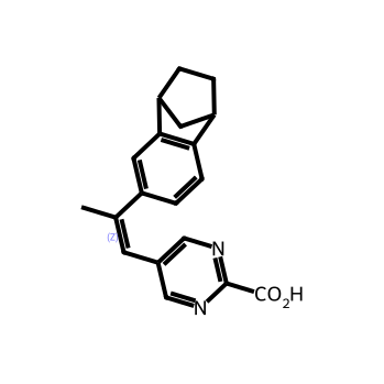 C/C(=C/c1cnc(C(=O)O)nc1)c1ccc2c(c1)C1CCC2C1